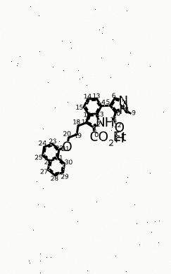 CCOC(=O)c1[nH]c2c(-c3cnn(C)c3CO)cccc2c1CCCOc1cccc2ccccc12